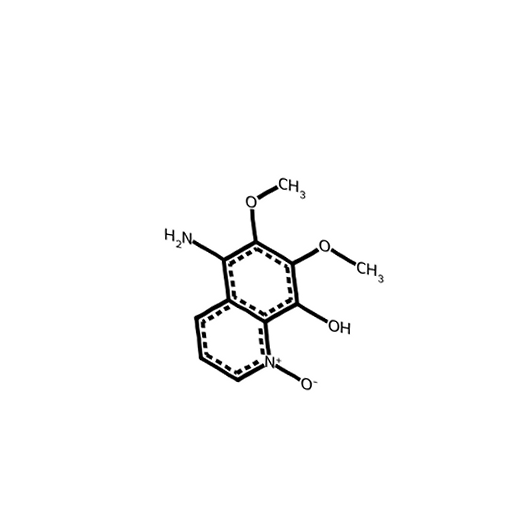 COc1c(OC)c(O)c2c(ccc[n+]2[O-])c1N